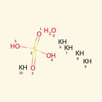 O.O=S(=O)(O)O.[KH].[KH].[KH].[KH].[KH]